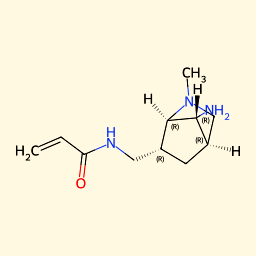 C=CC(=O)NC[C@H]1C[C@@H]2CN(C)[C@H]1[C@@H]2N